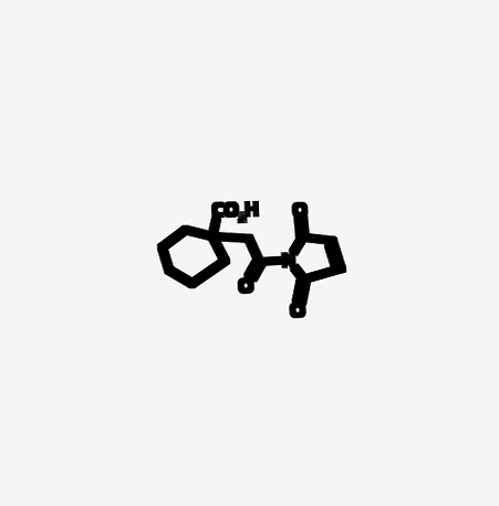 O=C1C=CC(=O)N1C(=O)CC1(C(=O)O)CCCCC1